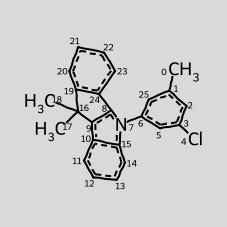 Cc1cc(Cl)cc(-n2c3c(c4ccccc42)C(C)(C)c2ccccc2-3)c1